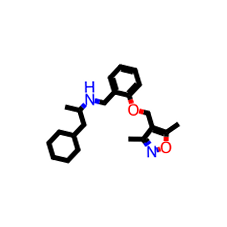 Cc1noc(C)c1COc1ccccc1CNC(C)CC1CCCCC1